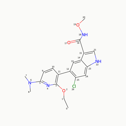 CCOc1nc(N(C)C)ccc1-c1cc2c(C(=O)NOC)c[nH]c2cc1Cl